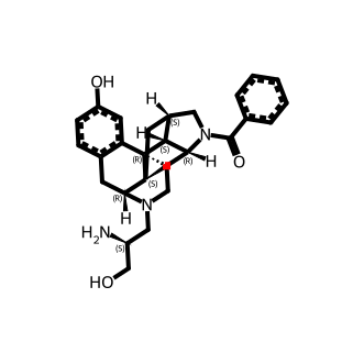 N[C@H](CO)CN1CC[C@@]23c4cc(O)ccc4C[C@@H]1[C@]21CC[C@@H]2[C@H]3[C@@H](CN2C(=O)c2ccccc2)C1